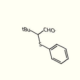 CC(C)(C)C([C]=O)Sc1ccccc1